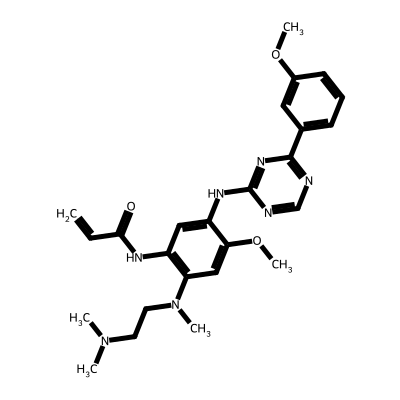 C=CC(=O)Nc1cc(Nc2ncnc(-c3cccc(OC)c3)n2)c(OC)cc1N(C)CCN(C)C